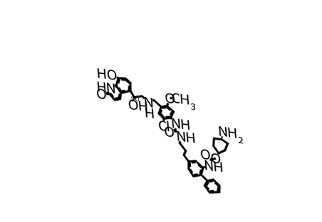 COc1cc(NC(=O)NCCCc2ccc(-c3ccccc3)c(NC(=O)O[C@H]3CC[C@H](N)CC3)c2)c(Cl)cc1CNC[C@H](O)c1ccc(O)c2[nH]c(=O)ccc12